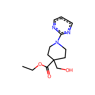 CCOC(=O)C1(CO)CCN(c2nc[c]cn2)CC1